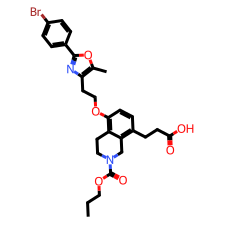 CCCOC(=O)N1CCc2c(OCCc3nc(-c4ccc(Br)cc4)oc3C)ccc(CCC(=O)O)c2C1